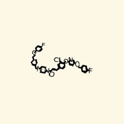 O=C(C=Cc1ccc(Oc2ccc(OCc3ccc(F)cc3)cn2)c(Cl)c1)N1CCN(Cc2ccc(CCOc3ccc(F)cc3)cc2)CC1